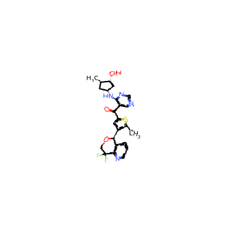 Cc1sc(C(=O)c2cncnc2N[C@@H]2C[C@@H](C)[C@H](O)C2)cc1[C@@H]1OCC(F)(F)c2ncccc21